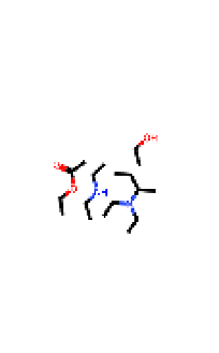 CCC(C)N(CC)CC.CCNCC.CCO.CCOC(C)=O